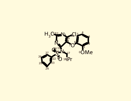 COc1ccccc1Oc1c(Cl)nc(C)nc1N(CC(C)C)S(=O)(=O)c1ccccc1